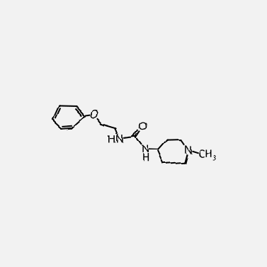 CN1CCC(NC(=O)NCCOc2ccccc2)CC1